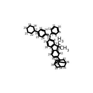 CC1(C)c2cc(N(c3ccccc3)c3ccc(C4CCCCC4)cc3)ccc2-c2ccc(C34CC5CC(CC(C5)C3)C4)cc21